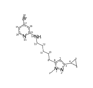 Cn1nc(C2CC2)cc1CCCCCNc1cc(Br)ccn1